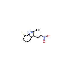 Cc1[nH]c2c(F)cccc2c1/C=C/[N+](=O)[O-]